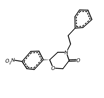 O=C1CO[C@H](c2ccc([N+](=O)[O-])cc2)CN1CCc1ccccc1